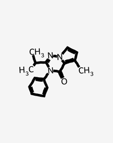 Cc1ccn2nc(C(C)C)n(-c3ccccc3)c(=O)c12